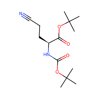 CC(C)(C)OC(=O)N[C@@H](CCC#N)C(=O)OC(C)(C)C